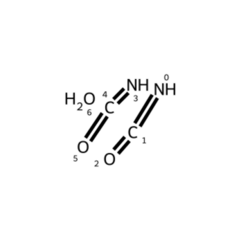 N=C=O.N=C=O.O